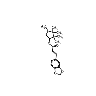 CC1CC(OC(=O)/C=C/c2ccc3c(c2)OCO3)C(C)(C)C1(C)C